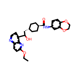 CCOc1ccc2nccc(C(O)C[C@H]3CC[C@H](C(=O)Nc4ccc5c(c4)OCCO5)CC3)c2n1